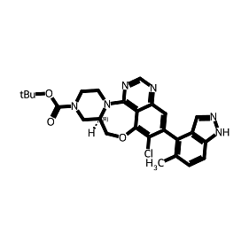 Cc1ccc2[nH]ncc2c1-c1cc2ncnc3c2c(c1Cl)OC[C@H]1CN(C(=O)OC(C)(C)C)CCN31